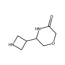 O=C1COCC(C2CNC2)N1